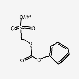 COS(=O)(=O)COC(=O)Oc1ccccc1